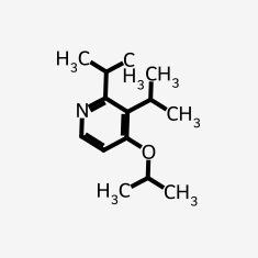 CC(C)Oc1ccnc(C(C)C)c1C(C)C